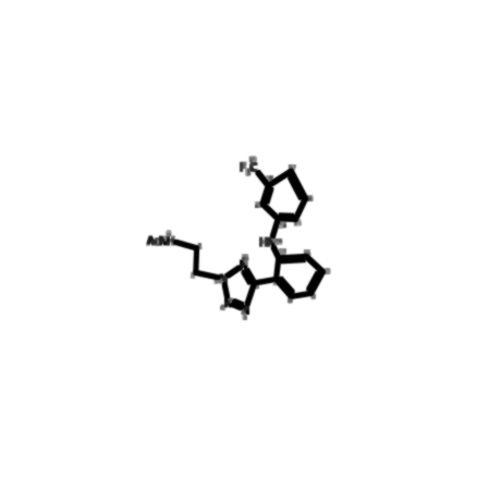 CC(=O)NCCn1nnc(-c2ccccc2Nc2cccc(C(F)(F)F)c2)n1